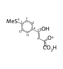 CSc1ccc(C(O)=CC(=O)C(=O)O)cc1